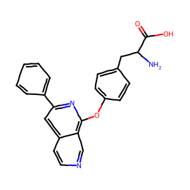 NC(Cc1ccc(Oc2nc(-c3ccccc3)cc3ccncc23)cc1)C(=O)O